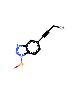 CCC#Cc1ccc2c(c1)nnn2PI